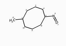 CC1CCCC(N=O)CCC1